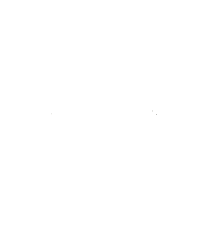 CNC(C)Cc1cccc(C#N)c1